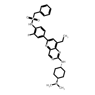 CCc1cc(-c2ccc(NS(=O)(=O)Cc3ccccc3)c(F)c2)nc2cnc(N[C@H]3CC[C@H](N(C)C)CC3)nc12